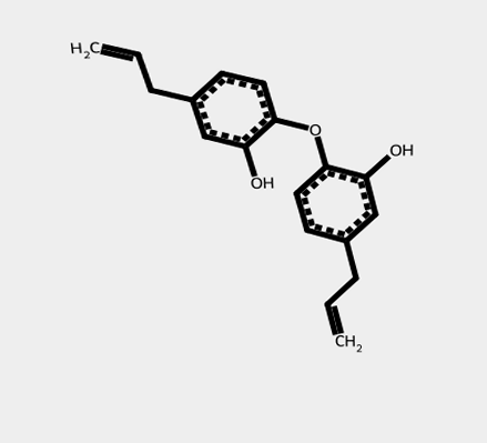 C=CCc1ccc(Oc2ccc(CC=C)cc2O)c(O)c1